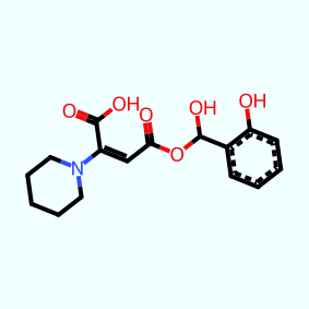 O=C(/C=C(\C(=O)O)N1CCCCC1)OC(O)c1ccccc1O